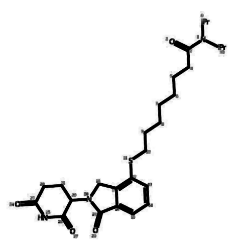 CC(C)N(C(=O)CCCCCCCSc1cccc2c1CN(C1CCC(=O)NC1=O)C2=O)C(C)C